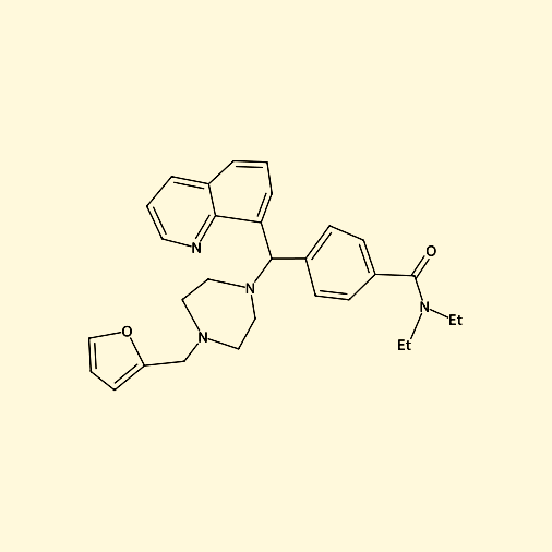 CCN(CC)C(=O)c1ccc(C(c2cccc3cccnc23)N2CCN(Cc3ccco3)CC2)cc1